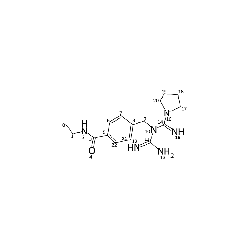 CCNC(=O)c1ccc(CN(C(=N)N)C(=N)N2CCCC2)cc1